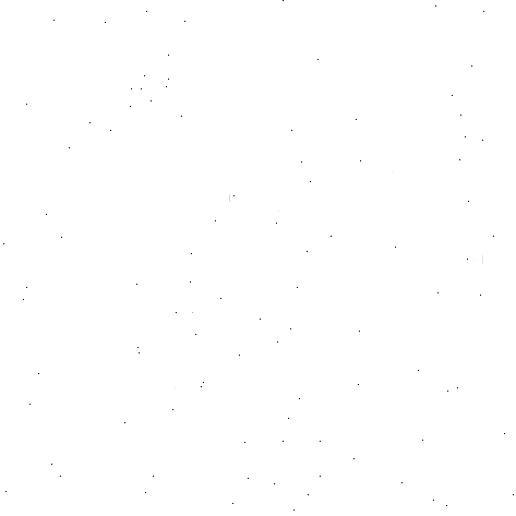 CCCCOc1ccsc1-c1sc(C(C)(C)c2ccc(C(C)(CC)c3sc(-c4cccs4)c4c3OCCO4)s2)c2c1OCCO2